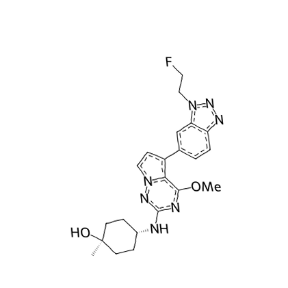 COc1nc(N[C@H]2CC[C@](C)(O)CC2)nn2ccc(-c3ccc4nnn(CCF)c4c3)c12